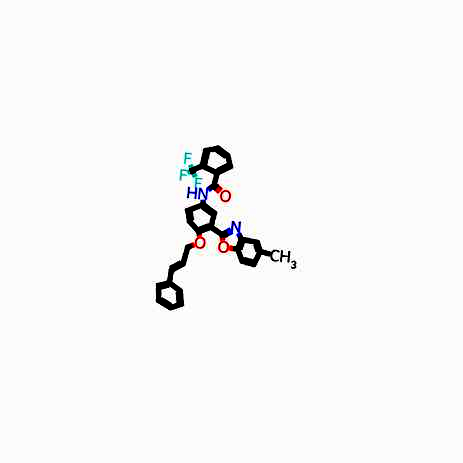 Cc1ccc2oc(-c3cc(NC(=O)c4ccccc4C(F)(F)F)ccc3OCC=Cc3ccccc3)nc2c1